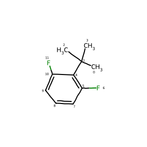 CC(C)(C)c1c(F)cccc1F